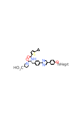 CCCCCCCOc1ccc(-c2cnc(-c3ccc(C[C@H](NC(=O)c4ccc(C5CC5)s4)C(=O)N4CC[C@H](C(=O)O)C4)cc3)nc2)cc1